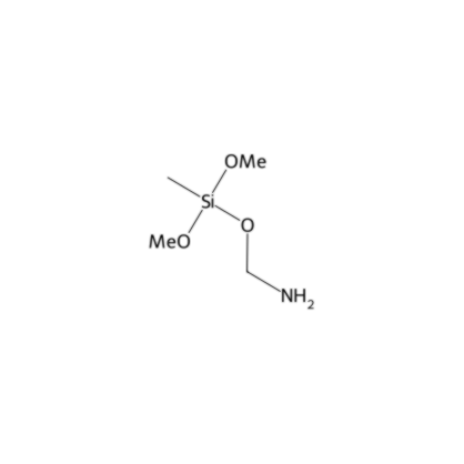 CO[Si](C)(OC)OCN